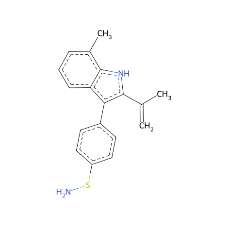 C=C(C)c1[nH]c2c(C)cccc2c1-c1ccc(SN)cc1